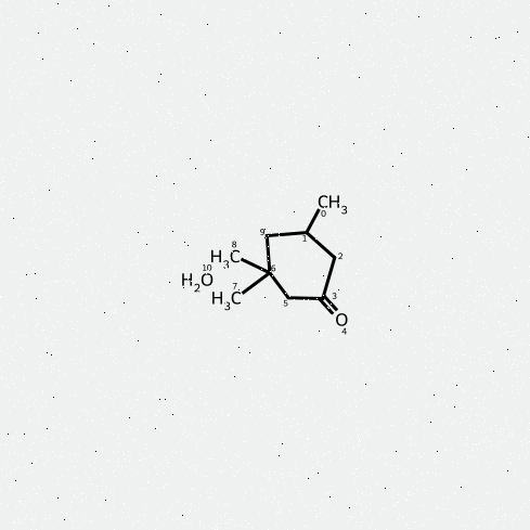 CC1CC(=O)CC(C)(C)C1.O